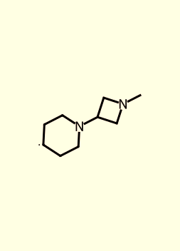 CN1CC(N2CC[CH]CC2)C1